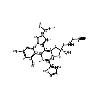 C#CCNC[C@]1(O)CC2=C(c3ccn(C(F)F)n3)[C@H](c3ccc(F)cc3Cl)N=C(c3nccs3)N2C1